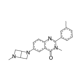 Cc1cccc(-c2nc3ccc(N4CC5C4CN5C)cc3c(=O)n2C)c1